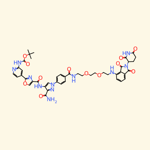 CC(C)(C)OC(=O)Nc1cc(-c2nc(C(=O)Nc3cn(-c4ccc(C(=O)NCCOCCOCCNc5cccc6c5C(=O)N(C5CCC(=O)NC5=O)C6=O)cc4)nc3C(N)=O)co2)ccn1